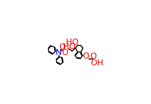 O=C(O)COc1cccc2c1CCC(O)C2(O)CCOC(=O)N(c1ccccc1)c1ccccc1